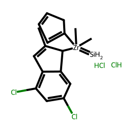 CC1=Cc2c(Cl)cc(Cl)cc2[CH]1[Zr]([CH3])([CH3])(=[SiH2])[C]1=CC=CC1.Cl.Cl